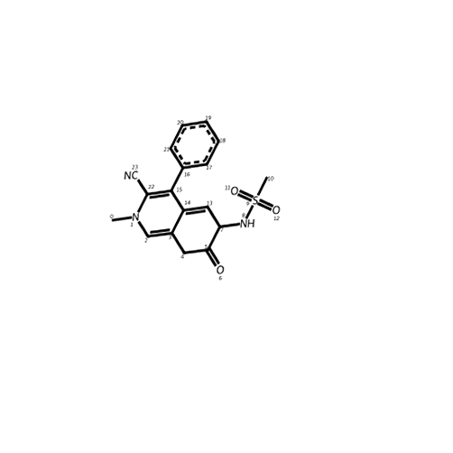 CN1C=C2CC(=O)C(NS(C)(=O)=O)C=C2C(c2ccccc2)=C1C#N